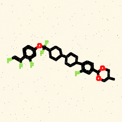 CC1COC(c2ccc(C3CCC(C4CCC(C(F)(F)Oc5ccc(/C(F)=C/F)c(F)c5)CC4)CC3)c(F)c2)OC1